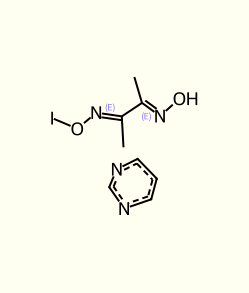 CC(=N\O)/C(C)=N/OI.c1cncnc1